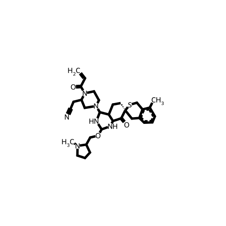 C=CC(=O)N1CCN(C2NC(OCC3CCCN3C)NC3C(=O)[C@]4(CCC32)Cc2cccc(C)c2CS4)CC1CC#N